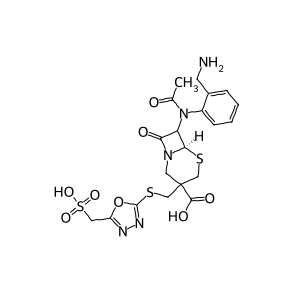 CC(=O)N(c1ccccc1CN)C1C(=O)N2CC(CSc3nnc(CS(=O)(=O)O)o3)(C(=O)O)CS[C@H]12